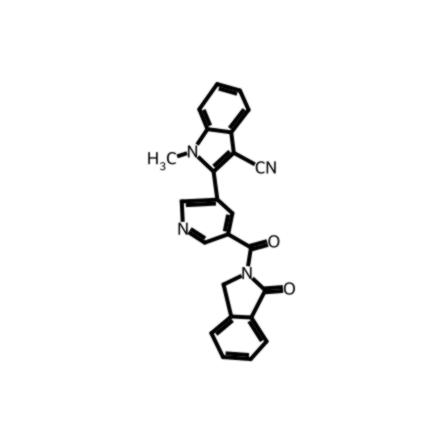 Cn1c(-c2cncc(C(=O)N3Cc4ccccc4C3=O)c2)c(C#N)c2ccccc21